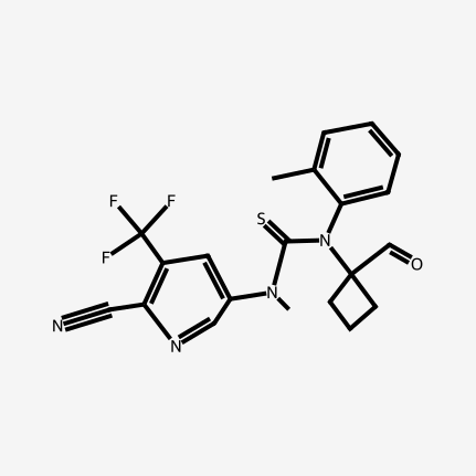 Cc1ccccc1N(C(=S)N(C)c1cnc(C#N)c(C(F)(F)F)c1)C1(C=O)CCC1